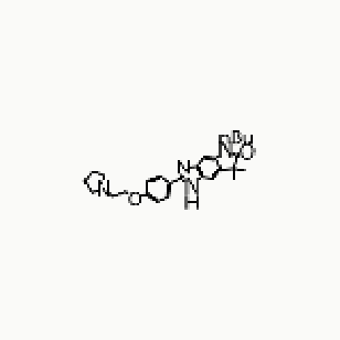 CCCCN1C(=O)C(C)(C)c2cc3[nH]c(-c4ccc(OCCN5CCCC5)cc4)nc3cc21